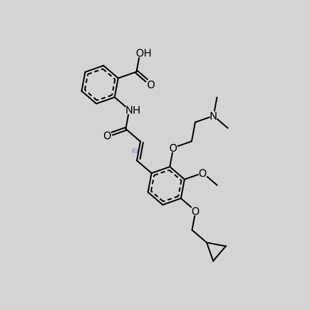 COc1c(OCC2CC2)ccc(/C=C/C(=O)Nc2ccccc2C(=O)O)c1OCCN(C)C